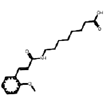 COc1ccccc1/C=C/C(=O)NCCCCCCCC(=O)O